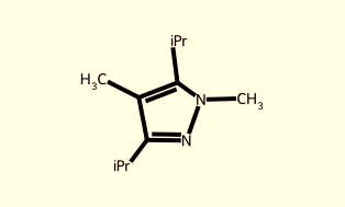 Cc1c(C(C)C)nn(C)c1C(C)C